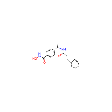 CC(NC(=O)CCc1ccccc1)c1ccc(C(=O)NO)cc1